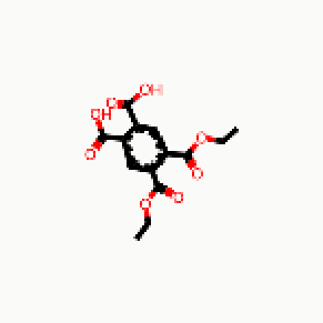 CCOC(=O)c1cc(C(=O)O)c(C(=O)O)cc1C(=O)OCC